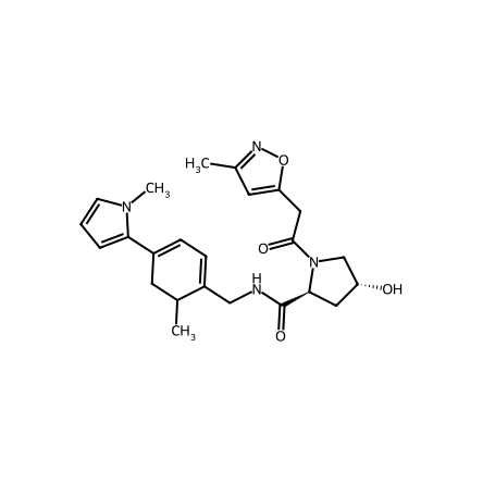 Cc1cc(CC(=O)N2C[C@H](O)C[C@H]2C(=O)NCC2=CC=C(c3cccn3C)CC2C)on1